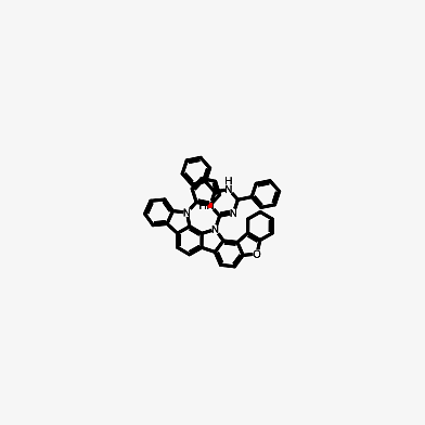 C1=Cc2oc3ccc4c5ccc6c7ccccc7n(-c7ccccc7)c6c5n(C5=NC(c6ccccc6)NC(c6ccccc6)N5)c4c3c2CC1